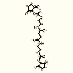 O=C(CCC(=O)NCCOC(=O)ON1C(=O)CCC1=O)NCCOC(=O)ON1C(=O)CCC1=O